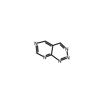 [c]1ncc2cnnnc2n1